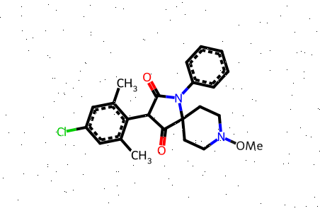 CON1CCC2(CC1)C(=O)C(c1c(C)cc(Cl)cc1C)C(=O)N2c1ccccc1